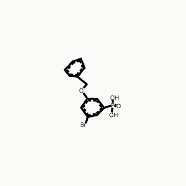 O=P(O)(O)c1cc(Br)cc(OCc2ccccc2)c1